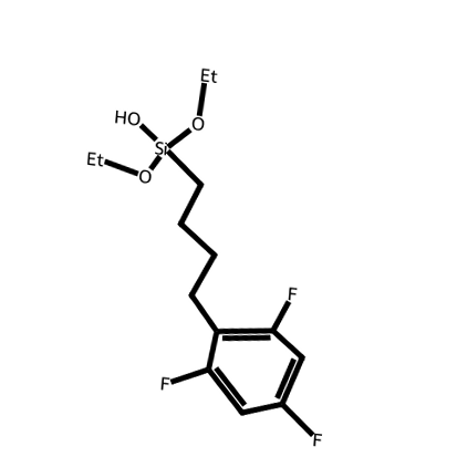 CCO[Si](O)(CCCCc1c(F)cc(F)cc1F)OCC